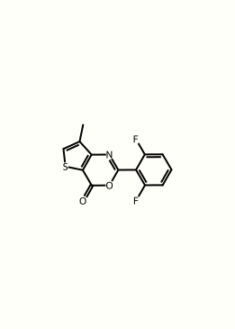 Cc1csc2c(=O)oc(-c3c(F)cccc3F)nc12